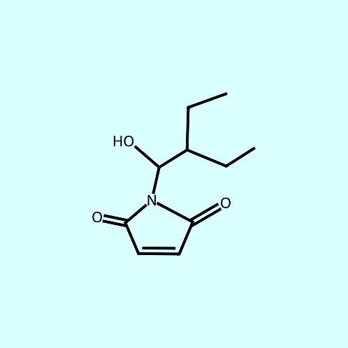 CCC(CC)C(O)N1C(=O)C=CC1=O